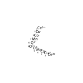 [Ce+3].[Ce+3].[Co].[Co].[Cu].[Cu].[Mn].[Mn].[O-2].[O-2].[O-2]